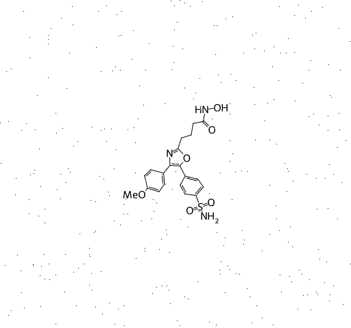 COc1ccc(-c2nc(CCCC(=O)NO)oc2-c2ccc(S(N)(=O)=O)cc2)cc1